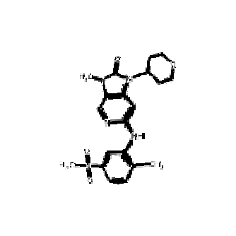 Cc1ccc(S(C)(=O)=O)cc1Nc1cc2c(cn1)n(C)c(=O)n2C1CCOCC1